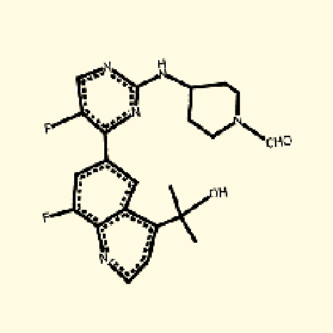 CC(C)(O)c1ccnc2c(F)cc(-c3nc(NC4CCN(C=O)CC4)ncc3F)cc12